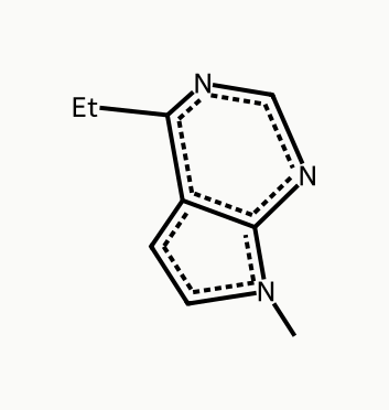 CCc1ncnc2c1ccn2C